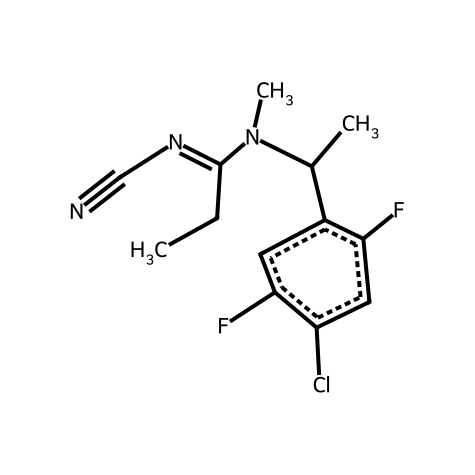 CC/C(=N\C#N)N(C)C(C)c1cc(F)c(Cl)cc1F